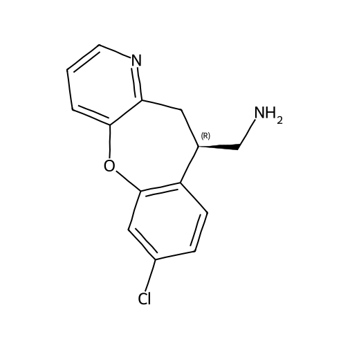 NC[C@@H]1Cc2ncccc2Oc2cc(Cl)ccc21